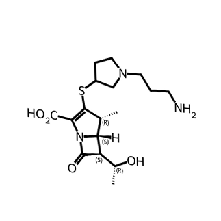 C[C@@H](O)[C@H]1C(=O)N2C(C(=O)O)=C(SC3CCN(CCCN)C3)[C@H](C)[C@H]12